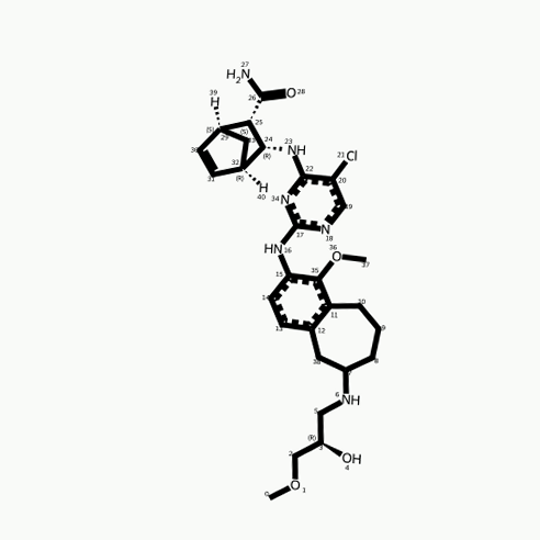 COC[C@H](O)CNC1CCCc2c(ccc(Nc3ncc(Cl)c(N[C@H]4[C@@H](C(N)=O)[C@@H]5C=C[C@H]4C5)n3)c2OC)C1